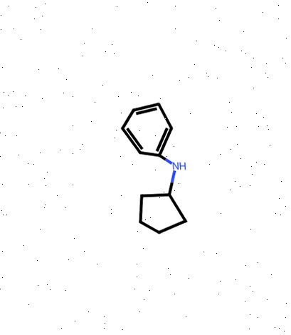 c1ccc(NC2CCCC2)cc1